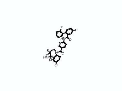 C[C@]1(O)c2cc(Cl)ccc2N(C(=O)c2ccc(NC(=O)c3cc(F)ccc3-c3ccccc3F)nc2)CCC1(F)F